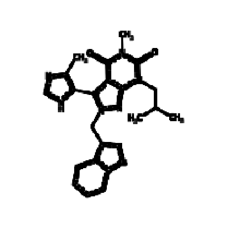 Cc1nc[nH]c1-c1c2c(=O)n(C)c(=O)n(CC(C)C)c2nn1Cc1csc2ccccc12